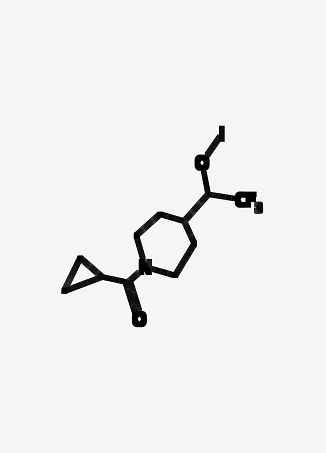 O=C(C1CC1)N1CCC(C(OI)C(F)(F)F)CC1